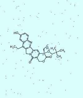 CCc1c2c(nc3ccc(O)cc13)-c1cc3c(c(=O)n1C2)COC(=O)[C@@]3(CC)OCC(C)(C)C